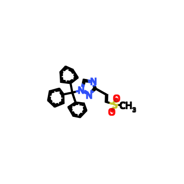 CS(=O)(=O)C=Cc1ncn(C(c2ccccc2)(c2ccccc2)c2ccccc2)n1